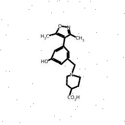 Cc1noc(C)c1-c1cc(O)cc(CN2CCC(C(=O)O)CC2)c1